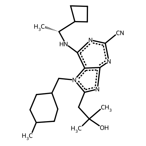 CC1CCC(Cn2c(CC(C)(C)O)nc3nc(C#N)nc(N[C@H](C)C4CCC4)c32)CC1